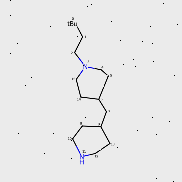 CC(C)(C)CCN1CCC(CC2CCNCC2)CC1